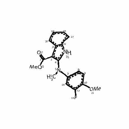 COC(=O)c1c(N(C)c2ccc(OC)c(F)c2)[nH]c2ccccc12